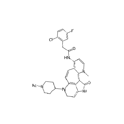 CC(=O)N1CCC(N2CC=c3[nH]c(=O)c4c5c(ccc2c3-4)=C(NC(=O)Cc2cc(F)ccc2Cl)C=CN5C)CC1